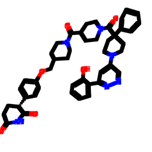 O=C1CC[C@H](c2ccc(OCC3CCN(C(=O)C4CCN(C(=O)C5(c6ccccc6)CCN(c6cnnc(-c7ccccc7O)c6)CC5)CC4)CC3)cc2)C(=O)N1